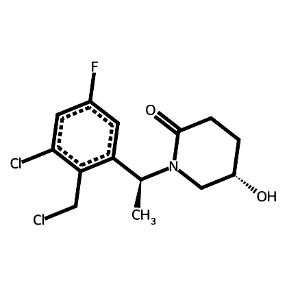 C[C@@H](c1cc(F)cc(Cl)c1CCl)N1C[C@@H](O)CCC1=O